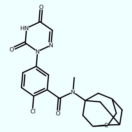 CN(C(=O)c1cc(-n2ncc(=O)[nH]c2=O)ccc1Cl)C12CC3CCC(CC(C3)C1)C2